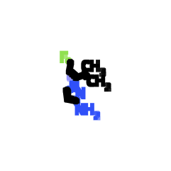 C=C(C)/C(=C\CF)n1ccc(N)n1